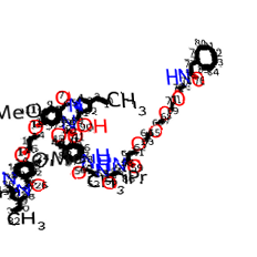 C/C=C/C1=CN2C(=O)c3cc(OC)c(OCCCOc4cc5c(cc4OC)C(=O)N4C=C(/C=C/C)C[C@H]4C=N5)cc3N(C(=O)OCc3ccc(NC(=O)[C@H](C)NC(=O)[C@@H](NC(=O)CCOCCOCCOCCOCCNC(=O)CC4=C/C=C\C=C/C=C\4)C(C)C)cc3)[C@@H](O)C2C1